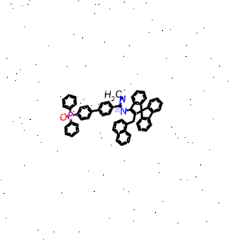 C=N/C(=N\C1=C(Cc2cccc3ccccc23)C2(c3ccccc31)c1ccccc1-c1ccccc12)c1ccc(-c2ccc(P(=O)(c3ccccc3)c3ccccc3)cc2)cc1